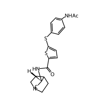 CC(=O)Nc1ccc(Sc2ccc(C(=O)N[C@H]3CN4CCC3CC4)s2)cc1